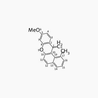 C=C1c2ccc(OC)cc2Oc2ccc3cccc(C)c3c21